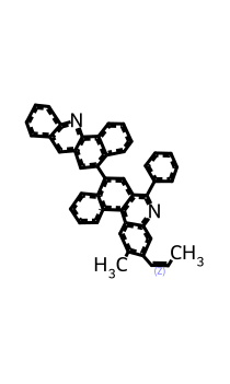 C/C=C\c1cc2nc(-c3ccccc3)c3cc(-c4cc5cc6ccccc6nc5c5ccccc45)c4ccccc4c3c2cc1C